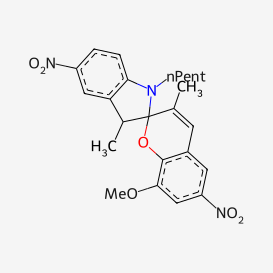 CCCCCN1c2ccc([N+](=O)[O-])cc2C(C)C12Oc1c(cc([N+](=O)[O-])cc1OC)C=C2C